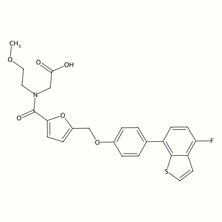 COCCN(CC(=O)O)C(=O)c1ccc(COc2ccc(-c3ccc(F)c4ccsc34)cc2)o1